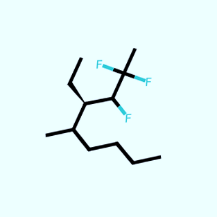 CCCCC(C)[C@@H](CC)C(F)C(C)(F)F